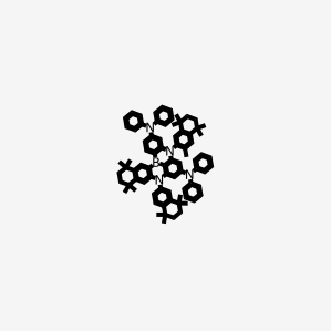 Cc1cc2c(cc1N1c3cc(N(c4ccccc4)c4ccccc4)ccc3B3c4cc5c(cc4N(c4ccc6c(c4)C(C)(C)CCC6(C)C)c4cc(N(c6ccccc6)c6ccccc6)cc1c43)C(C)(C)CCC5(C)C)C(C)(C)CCC2(C)C